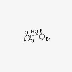 CC1(C)CC(=O)N(CCC(O)c2ccc(Br)cc2F)C(=O)C1